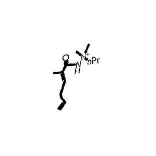 C=CCC=C(C)C(=O)N[N+](C)(C)CCC